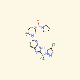 C[C@@H]1CC[C@H](C(=O)N2CCCC2)CN1c1ccc2nc(C3(n4cc(Cl)cn4)CC3)[nH]c2n1